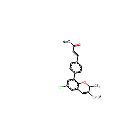 COC(=O)/C=C/c1ccc(-c2cc(Cl)cc3c2OC(C(F)(F)F)C(C(=O)O)=C3)cc1